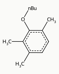 CCCCOc1c(C)ccc(C)c1C